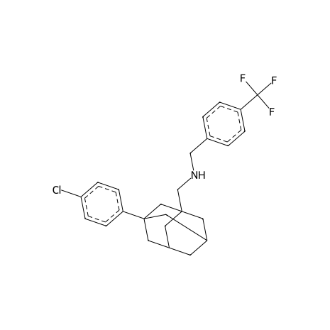 FC(F)(F)c1ccc(CNCC23CC4CC(C2)CC(c2ccc(Cl)cc2)(C4)C3)cc1